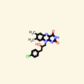 Cc1cc2nc3c(=O)[nH]c(=O)nc-3n(CC(O)Cc3ccc(Cl)cc3)c2cc1C